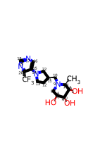 C[C@@H]1[C@@H](O)[C@H](O)[C@@H](O)CN1C[C@H]1CCN(c2cncnc2C(F)(F)F)C1